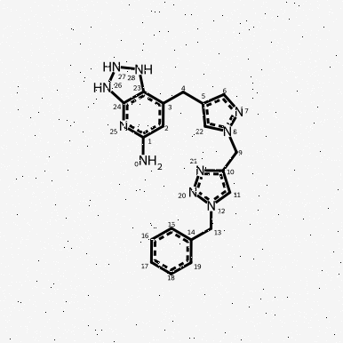 Nc1cc(Cc2cnn(Cc3cn(Cc4ccccc4)nn3)c2)c2c(n1)NNN2